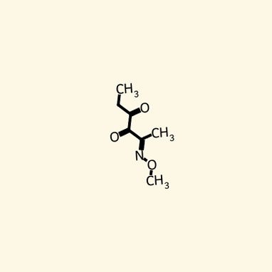 CCC(=O)C(=O)/C(C)=N/OC